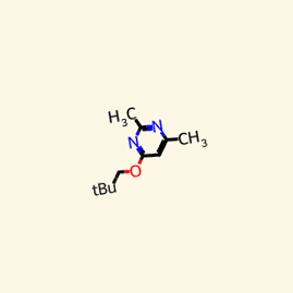 Cc1cc(OCC(C)(C)C)nc(C)n1